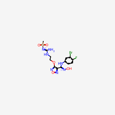 CS(=O)(=O)/N=C(\N)NCCOc1nonc1/C(=N/O)Nc1ccc(F)c(Br)c1